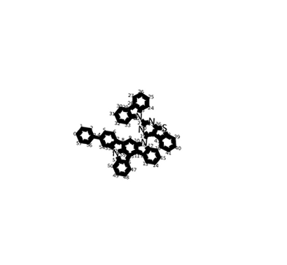 c1ccc(-c2ccc3c4cc5c(c6ccccc6n5-c5nc(-n6c7ccccc7c7ccccc76)nc6sc7ccccc7c56)c5c6ccccc6n(c3c2)c45)cc1